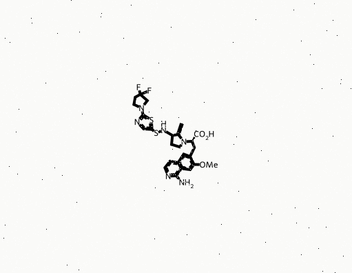 C=C1C(NSc2cnc(N3CCC(F)(F)C3)s2)CCN1[C@H](Cc1cc2ccnc(N)c2cc1OC)C(=O)O